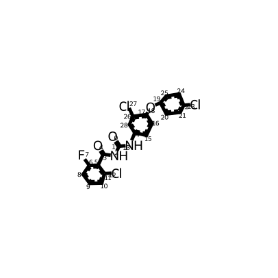 O=C(NC(=O)c1c(F)cccc1Cl)Nc1ccc(Oc2ccc(Cl)cc2)c(Cl)c1